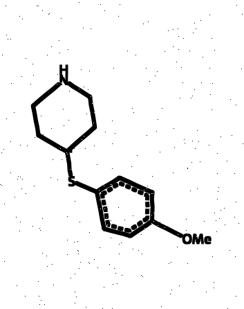 COc1ccc(S[C]2CCNCC2)cc1